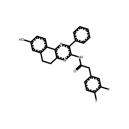 O=C(Cc1ccc(F)c(F)c1)Nc1nc2c(nc1-c1ccccc1)-c1ccc(O)cc1CC2